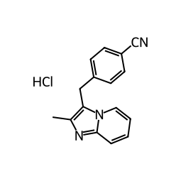 Cc1nc2ccccn2c1Cc1ccc(C#N)cc1.Cl